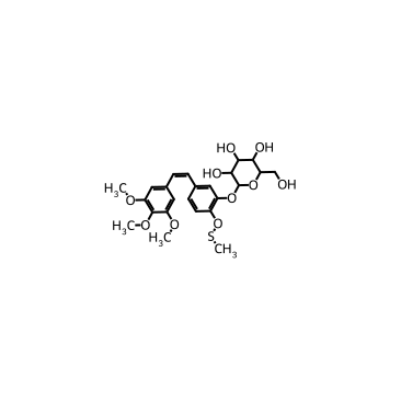 COc1cc(/C=C\c2ccc(OSC)c(OC3OC(CO)C(O)C(O)C3O)c2)cc(OC)c1OC